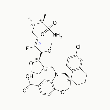 COC(/C(F)=C/C[C@H](C)[C@@H](C)S(N)(=O)=O)[C@@H]1OCC[C@H]1CN1C[C@@]2(CCCc3cc(Cl)ccc32)COc2ccc(C(=O)O)cc21